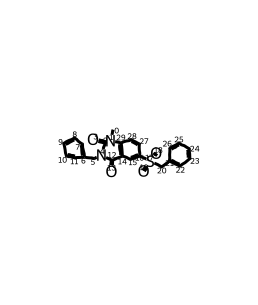 Cn1c(=O)n(Cc2ccccc2)c(=O)c2cc(S(=O)(=O)Cc3ccccc3)ccc21